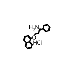 Cl.N[C@@H](CCOc1cccc2ccccc12)c1ccccc1